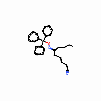 CCCC/C(CCCCC#N)=N\O[Si](c1ccccc1)(c1ccccc1)c1ccccc1